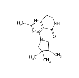 CC1CN(c2nc(N)nc3c2C(=O)NCC3)CC1(C)C